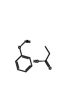 CCC(=O)O.CCCCOc1ccccc1